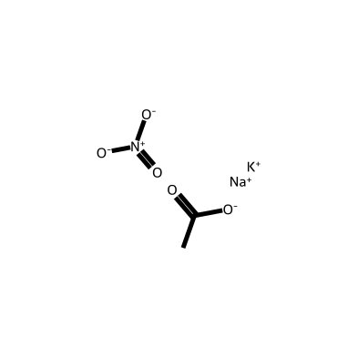 CC(=O)[O-].O=[N+]([O-])[O-].[K+].[Na+]